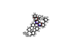 CC(C)(C)c1ccc2c(c1)C1(c3cc(N(c4ccccc4)c4ccccc4)ccc3-2)c2cc(N(c3cccc(-c4ccccc4)c3)c3ccc4c(c3)C(C)(C)c3ccccc3-4)ccc2-c2ccc(C(C)(C)C)cc21